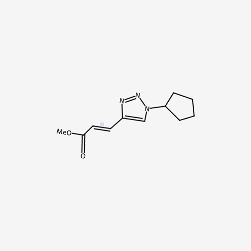 COC(=O)/C=C/c1cn(C2CCCC2)nn1